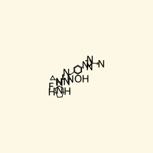 N#Cc1ncn(-c2ccc(-c3ncc(N(C4CC4)[C@H]4C[C@@H]5CC[C@@H](N5)[C@H]4F)nn3)c(O)c2)n1